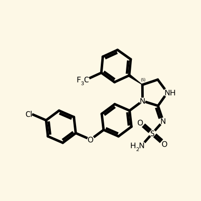 NS(=O)(=O)N=C1NC[C@H](c2cccc(C(F)(F)F)c2)N1c1ccc(Oc2ccc(Cl)cc2)cc1